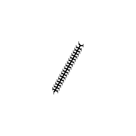 I[C](I)C(I)(I)C(I)(I)C(I)(I)C(I)(I)C(I)(I)C(I)(I)C(I)(I)C(I)(I)C(I)(I)C(I)(I)C(I)(I)C(I)(I)C(I)(I)C(I)(I)C(I)(I)C(I)(I)C(I)(I)I